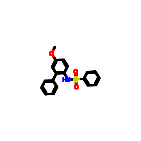 COc1ccc(NS(=O)(=O)c2ccccc2)c(-c2ccccc2)c1